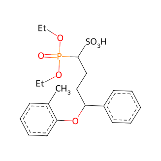 CCOP(=O)(OCC)C(CCC(Oc1ccccc1C)c1ccccc1)S(=O)(=O)O